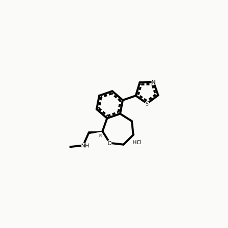 CNC[C@@H]1OCCCc2c(-c3cncs3)cccc21.Cl